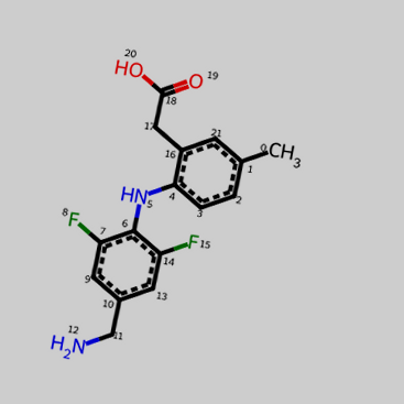 Cc1ccc(Nc2c(F)cc(CN)cc2F)c(CC(=O)O)c1